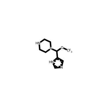 FC(F)(F)OC(c1cnc[nH]1)N1CCNCC1